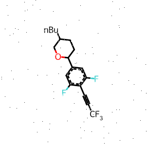 CCCCC1CCC(c2cc(F)c(C#CC(F)(F)F)c(F)c2)OC1